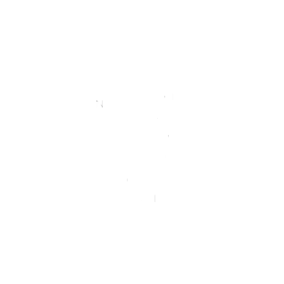 COC(OC)c1ccnc(Cl)c1C(C)=O